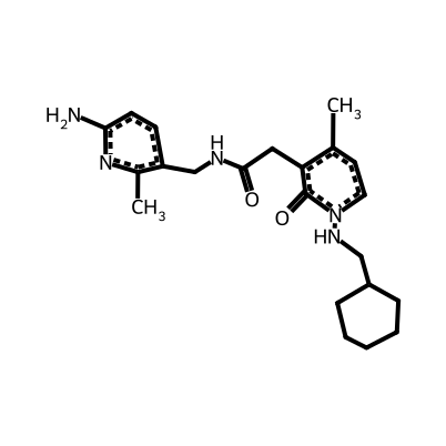 Cc1ccn(NCC2CCCCC2)c(=O)c1CC(=O)NCc1ccc(N)nc1C